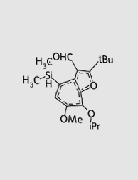 COc1cc([SiH](C)C)c2c(C=O)c(C(C)(C)C)oc2c1OC(C)C